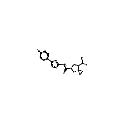 O=C(Nc1nnc(-c2ccc(F)cc2)o1)N1CC(C(F)F)C2(CC2)C1